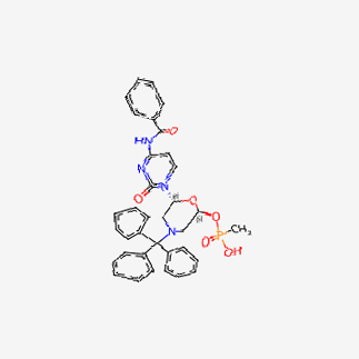 CP(=O)(O)O[C@H]1CN(C(c2ccccc2)(c2ccccc2)c2ccccc2)C[C@H](n2ccc(NC(=O)c3ccccc3)nc2=O)O1